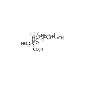 C#CCN(I)c1ccc(C(=O)N[C@@H](CCC(=O)N[C@H](CCC(=O)O)C(=O)O)C(=O)O)cc1